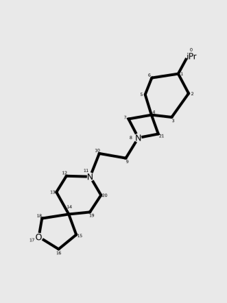 CC(C)C1CCC2(CC1)CN(CCN1CCC3(CCOC3)CC1)C2